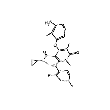 Cc1c(N)cccc1Oc1c(C(=O)N(C)C2CC2)c(Nc2ccc(I)cc2F)n(C)c(=O)c1C